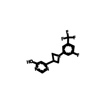 Oc1cc(C2CN(c3cc(F)cc(C(F)(F)F)c3)C2)ncn1